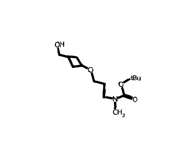 CN(CCCOC1CC(CO)C1)C(=O)OC(C)(C)C